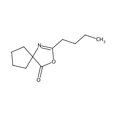 CCCCC1=NC2(CCCC2)C(=O)O1